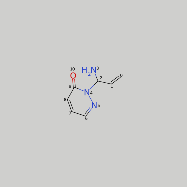 C=CC(N)n1ncccc1=O